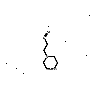 N=NCCN1CCNCC1